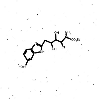 CCCCCCCCc1ccc2nc(CC(O)C(O)C(O)C(N)C(=O)OCC)[nH]c2c1